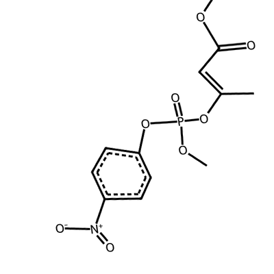 COC(=O)C=C(C)OP(=O)(OC)Oc1ccc([N+](=O)[O-])cc1